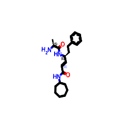 C[C@H](N)C(=O)N[C@H](/C=C/C(=O)NC1CCCCCC1)CCc1ccccc1